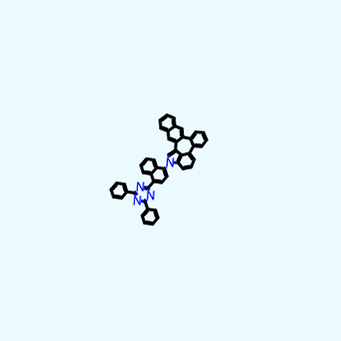 c1ccc(-c2nc(-c3ccccc3)nc(-c3ccc(-n4cc5c6c(cccc64)-c4ccccc4-c4cc6ccccc6cc4-5)c4ccccc34)n2)cc1